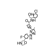 Cc1cnc(Nc2ccc(F)c(C3CNCCO3)c2)nc1-n1ccc(C(=O)NC(CO)c2cccc(Cl)c2)c1